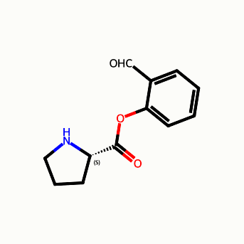 O=Cc1ccccc1OC(=O)[C@@H]1CCCN1